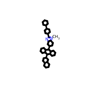 Cn1c(-c2ccc(-c3ccccc3)cc2)nc2cc(-c3c4ccccc4c(-c4ccc5ccccc5c4)c4ccccc34)ccc21